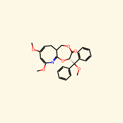 COC1=C/CC2COC(=O)[C@H](C(OC)(c3ccccc3)c3ccccc3)O/C2=N/C(OC)=C\1